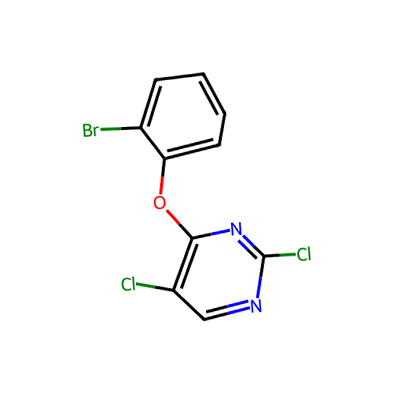 Clc1ncc(Cl)c(Oc2ccccc2Br)n1